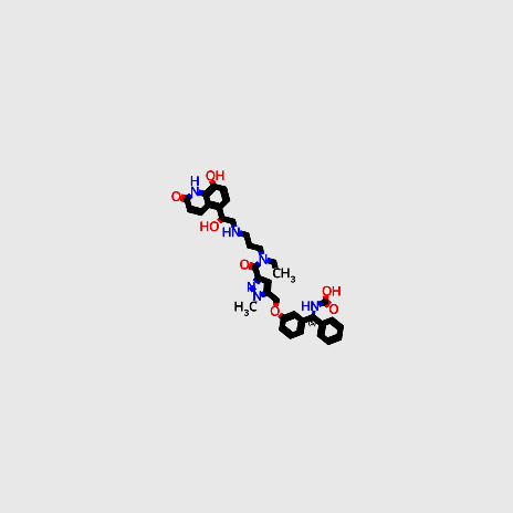 CCN(CCCNCC(O)c1ccc(O)c2[nH]c(=O)ccc12)C(=O)c1cc(COc2cccc([C@@H](NC(=O)O)c3ccccc3)c2)n(C)n1